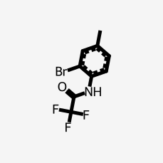 Cc1ccc(NC(=O)C(F)(F)F)c(Br)c1